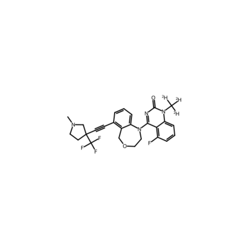 [2H]C([2H])([2H])n1c(=O)nc(N2CCOCc3c(C#CC4(C(F)(F)F)CCN(C)C4)cccc32)c2c(F)cccc21